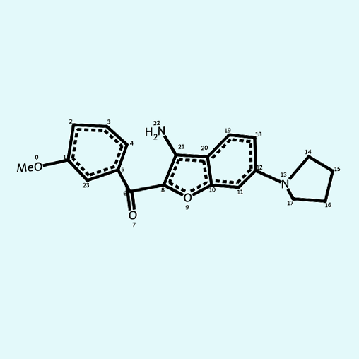 COc1cccc(C(=O)c2oc3cc(N4CCCC4)ccc3c2N)c1